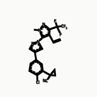 C=Cc1c(C(F)(F)C(F)(F)F)nn(C)c1-n1cc(-c2ccc(Cl)c(C3(C#N)CC3)c2)cn1